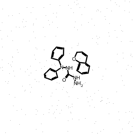 C1=Cc2ccccc2OC1.NNC(=O)NN(c1ccccc1)c1ccccc1